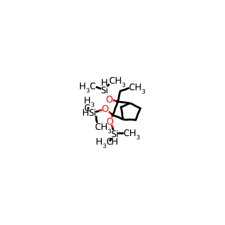 CCC1(O[SiH](C)C)C2CCC(C2)C1(O[SiH](C)C)O[SiH](C)C